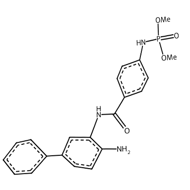 COP(=O)(Nc1ccc(C(=O)Nc2cc(-c3ccccc3)ccc2N)cc1)OC